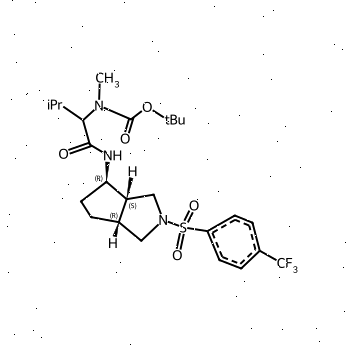 CC(C)C(C(=O)N[C@@H]1CC[C@H]2CN(S(=O)(=O)c3ccc(C(F)(F)F)cc3)C[C@H]21)N(C)C(=O)OC(C)(C)C